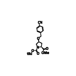 COC(=O)[C@@H]1C[C@H](OCc2ccc(C#N)cc2)CN1C(=O)OC(C)(C)C